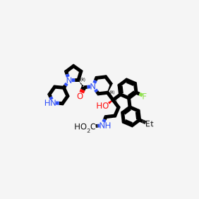 CCc1cccc(-c2c(F)cccc2[C@](O)(CCCNC(=O)O)[C@@H]2CCCN(C(=O)[C@H]3CCCN3C3CCNCC3)C2)c1